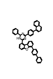 c1ccc(-c2ccc(-c3cccc4c3oc3cccc(C5=NC(c6ccc(-c7cccc8ccccc78)cc6)=NC(c6ccccc6)N5)c34)cc2)cc1